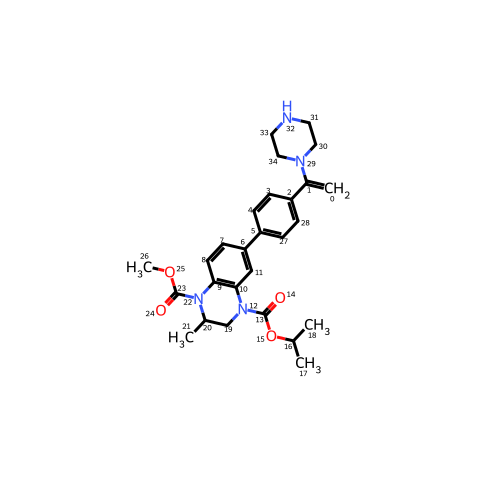 C=C(c1ccc(-c2ccc3c(c2)N(C(=O)OC(C)C)CC(C)N3C(=O)OC)cc1)N1CCNCC1